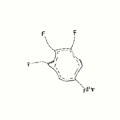 C[CH]Cc1cc(F)c(F)c(F)c1